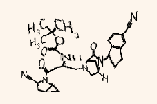 CC(C)(C)OC(=O)NC(CN1C[C@@H]2CC1C(=O)N2C1CCc2cc(C#N)ccc21)C(=O)N1C(C#N)CC2CC21